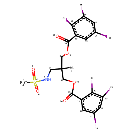 CCC(CNS(=O)(=O)C(F)(F)F)(COC(=O)c1cc(I)cc(I)c1I)COC(=O)c1cc(I)cc(I)c1I